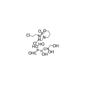 O=C[C@H](O)[C@@H](O)[C@H](O)[C@H](O)CO.O=P1(NCCCl)OCCCN1CCCl